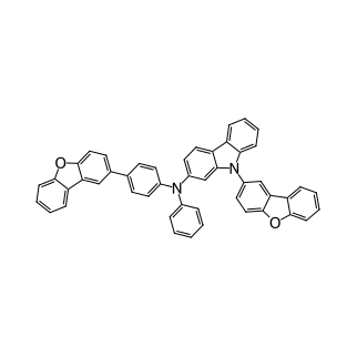 c1ccc(N(c2ccc(-c3ccc4oc5ccccc5c4c3)cc2)c2ccc3c4ccccc4n(-c4ccc5oc6ccccc6c5c4)c3c2)cc1